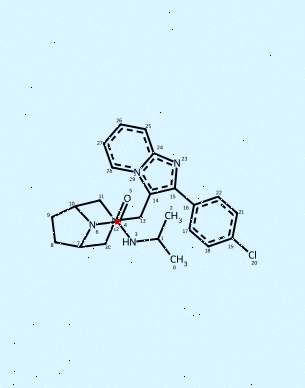 CC(C)NC(=O)N1C2CCC1CN(Cc1c(-c3ccc(Cl)cc3)nc3ccccn13)C2